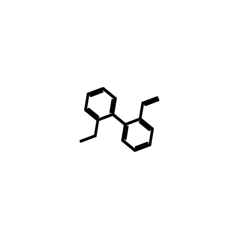 C=Cc1ccccc1-c1ccccc1CC